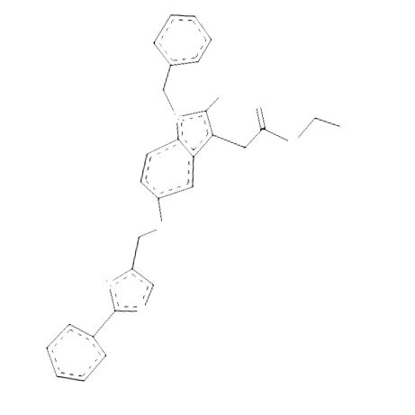 CCOC(=O)Cc1c(C)n(Cc2ccccc2)c2ccc(OCc3coc(-c4ccccc4)n3)cc12